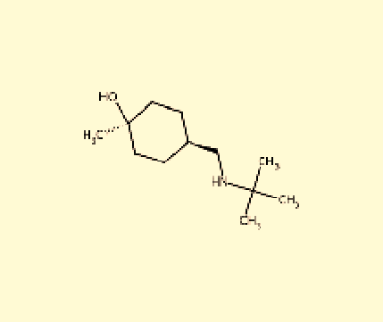 CC(C)(C)NC[C@H]1CC[C@@](C)(O)CC1